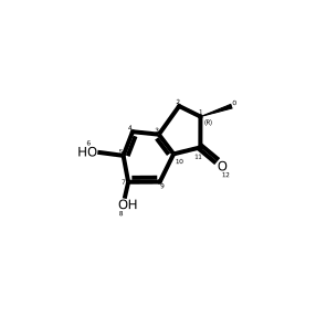 C[C@@H]1Cc2cc(O)c(O)cc2C1=O